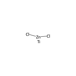 [Cl][Zn][Cl].[Ti]